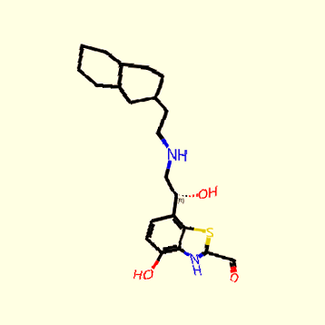 O=CC1Nc2c(O)ccc([C@@H](O)CNCCC3CCC4CCCCC4C3)c2S1